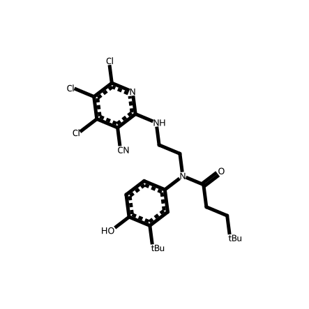 CC(C)(C)CCC(=O)N(CCNc1nc(Cl)c(Cl)c(Cl)c1C#N)c1ccc(O)c(C(C)(C)C)c1